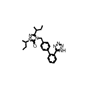 CCC(C)c1nn(C(C)CC)c(=O)n1Cc1ccc(-c2ccccc2-c2nnn[nH]2)cc1